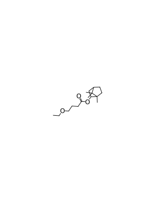 CCOCCCC(=O)OC1CC2CCC1(C)C2(C)C